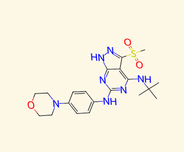 CC(C)(C)Nc1nc(Nc2ccc(N3CCOCC3)cc2)nc2[nH]nc(S(C)(=O)=O)c12